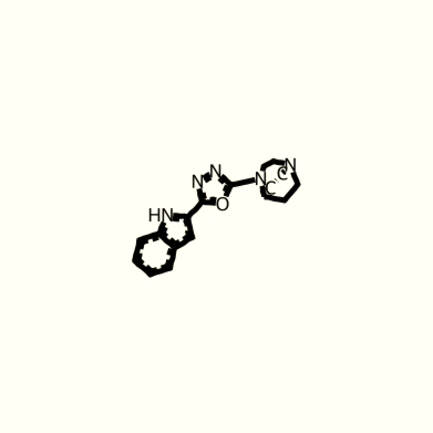 c1ccc2[nH]c(-c3nnc(N4CCN5CCC4CC5)o3)cc2c1